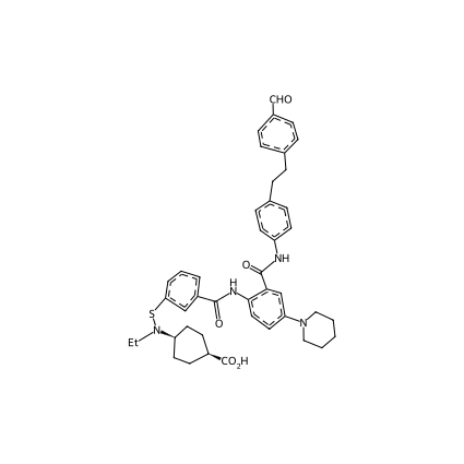 CCN(Sc1cccc(C(=O)Nc2ccc(N3CCCCC3)cc2C(=O)Nc2ccc(CCc3ccc(C=O)cc3)cc2)c1)[C@H]1CC[C@@H](C(=O)O)CC1